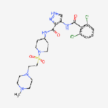 CN1CCN(CCS(=O)(=O)N2CCC(NC(=O)c3n[nH]cc3NC(=O)c3c(Cl)cccc3Cl)CC2)CC1